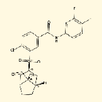 O=C[C@@]1(O)C2CC[C@H]1C[C@H](S(=O)(=O)c1cc(C(=O)Nc3ccc(F)c(F)c3)ccc1Cl)C2